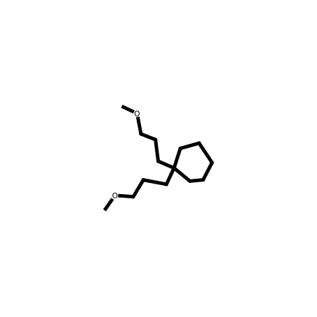 COCCCC1(CCCOC)CCCCC1